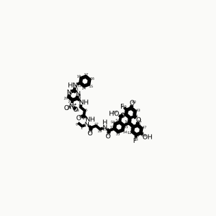 CCN(NC(=O)CCNc1nc(Nc2ccccc2)ncc1[N+](=O)[O-])C(=O)CCNC(=O)c1ccc(-c2c3cc(F)c(=O)cc-3oc3cc(O)c(F)cc23)c(C(=O)O)c1